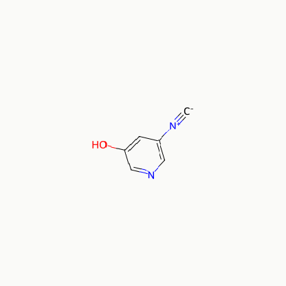 [C-]#[N+]c1cncc(O)c1